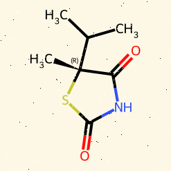 CC(C)[C@@]1(C)SC(=O)NC1=O